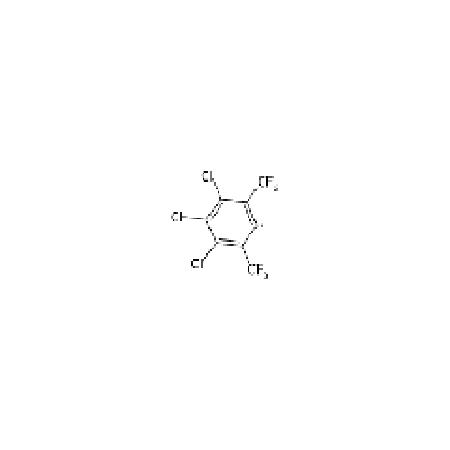 FC(F)(F)c1[c]c(C(F)(F)F)c(Cl)c(Cl)c1Cl